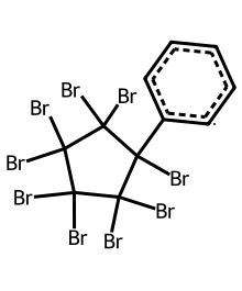 BrC1(Br)C(Br)(Br)C(Br)(Br)C(Br)(c2[c]cccc2)C1(Br)Br